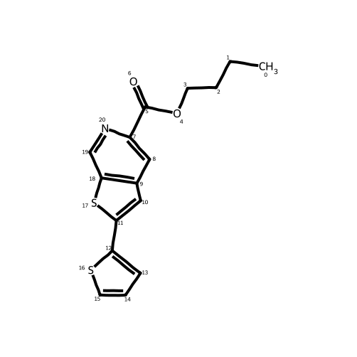 CCCCOC(=O)c1cc2cc(-c3cccs3)sc2cn1